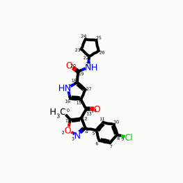 Cc1onc(-c2ccc(Cl)cc2)c1C(=O)c1c[nH]c(C(=O)NC2CCCC2)c1